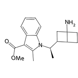 COC(=O)c1c(C)n([C@H](C)C2CC3(N)CCC23)c2ccccc12